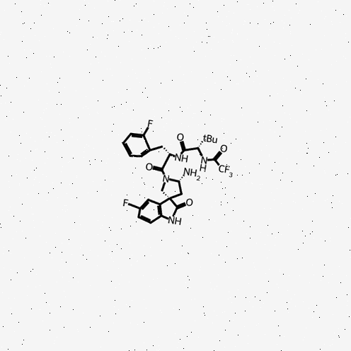 CC(C)(C)[C@H](NC(=O)C(F)(F)F)C(=O)N[C@@H](Cc1ccccc1F)C(=O)N1C[C@]2(C[C@H]1N)C(=O)Nc1ccc(F)cc12